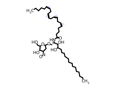 CCCCC/C=C\C/C=C\C/C=C\C/C=C\CCCC(=O)N[C@@H](COC1CC(N=O)C(O)C(CO)O1)C(O)C(O)CCCCCCCCCCCCCC